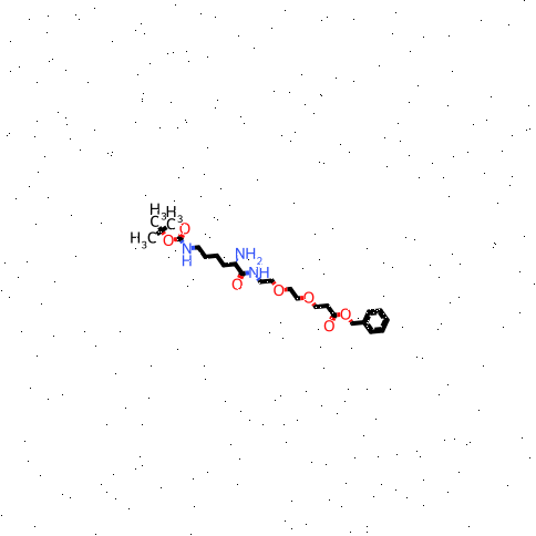 CC(C)(C)OC(=O)NCCCC[C@H](N)C(=O)NCCOCCOCCC(=O)OCc1ccccc1